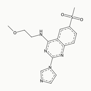 COCCNc1nc(-n2ccnc2)nc2ccc(S(C)(=O)=O)cc12